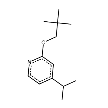 CC(C)c1ccnc(OCC(C)(C)C)c1